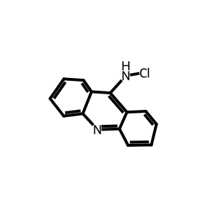 ClNc1c2ccccc2nc2ccccc12